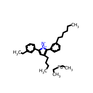 CCCCCCc1cccc(C2=C(CCCC)C=C(c3cccc(CC)c3)[N+]2=[N-])c1.C[CH2][Pd][CH2]C